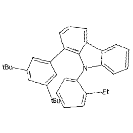 CCc1ccccc1-n1c2ccccc2c2cccc(-c3cc(C(C)(C)C)cc(C(C)(C)C)c3)c21